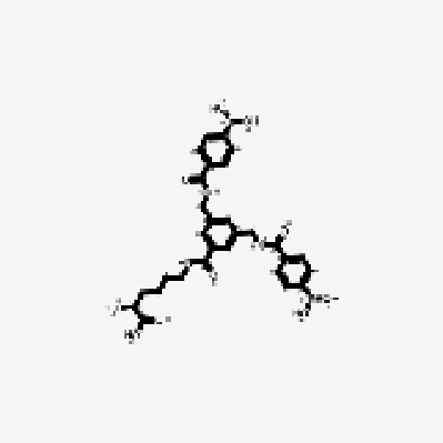 C[C@@H](CCCCNC(=O)c1cc(CNC(=O)c2ccc(B(O)O)cc2)cc(CNC(=O)c2ccc(B(O)O)cc2)c1)C(=O)O